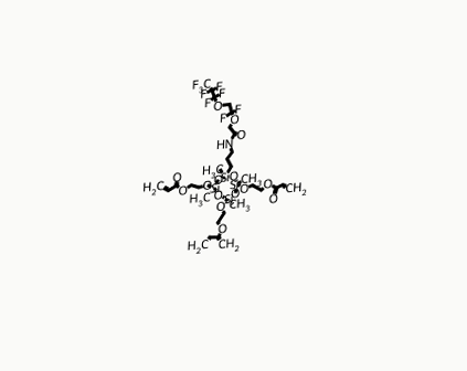 C=CC(=C)OCCO[Si]1(C)O[Si](C)(OCCOC(=O)C=C)O[Si](C)(CCCNC(=O)COC(F)(F)COC(F)(F)C(F)(F)C(F)(F)F)O[Si](C)(OCCOC(=O)C=C)O1